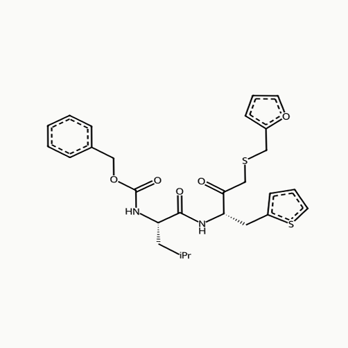 CC(C)C[C@H](NC(=O)OCc1ccccc1)C(=O)N[C@@H](Cc1cccs1)C(=O)CSCc1ccco1